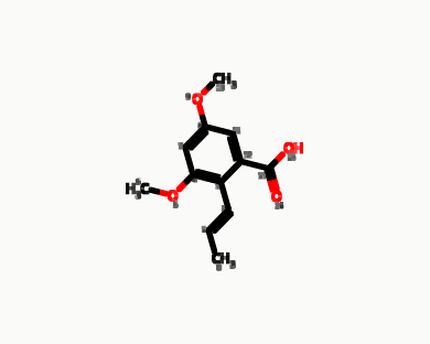 C/C=C/c1c(OC)cc(OC)cc1C(=O)O